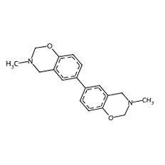 CN1COc2ccc(-c3ccc4c(c3)CN(C)CO4)cc2C1